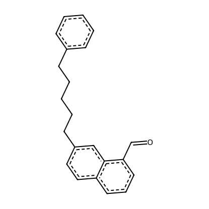 O=Cc1cccc2ccc(CCCCCc3ccccc3)cc12